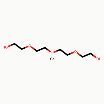 OCCOCCOCCOCCO.[Co]